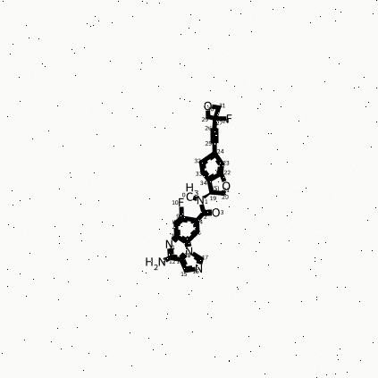 CN(C(=O)c1cc2c(cc1F)nc(N)c1cncn12)[C@@H]1COc2cc(C#CC3(F)COC3)ccc21